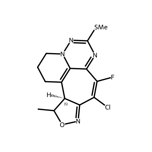 CSC1=NN2CCCC3=C2C(=N1)C(F)=C(Cl)C1=NOC(C)[C@H]13